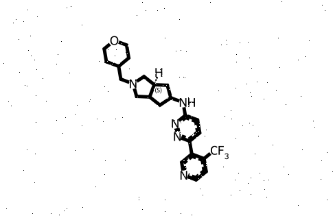 FC(F)(F)c1ccncc1-c1ccc(NC2CC3CN(CC4CCOCC4)C[C@H]3C2)nn1